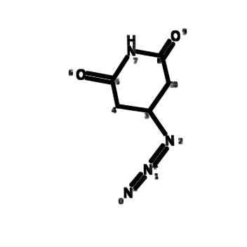 [N-]=[N+]=NC1CC(=O)NC(=O)C1